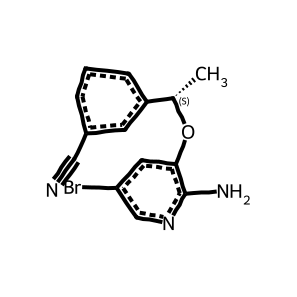 C[C@H](Oc1cc(Br)cnc1N)c1cccc(C#N)c1